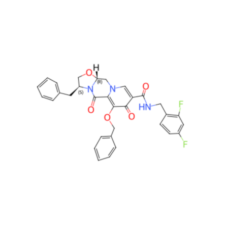 O=C(NCc1ccc(F)cc1F)c1cn2c(c(OCc3ccccc3)c1=O)C(=O)N1[C@@H](Cc3ccccc3)CO[C@@H]1C2